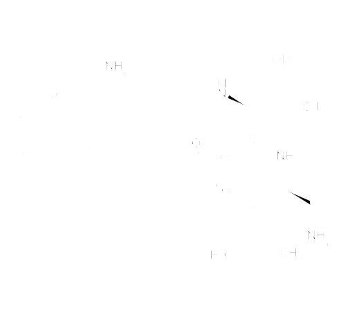 CC(C)C(=O)[C@H](CN)NC(=O)[C@@H](NC(=O)CCC(N)c1ccccc1)C(C)O